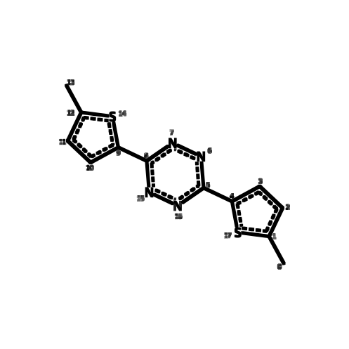 Cc1ccc(-c2nnc(-c3ccc(C)s3)nn2)s1